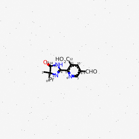 CC(C)C1(C)N=C(c2ncc(C=O)cc2C(=O)O)NC1=O